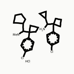 CNC(C1CCCC1)C1(c2ccc(Cl)cc2)CCC1.Cl.NC(C1CC1)C1(c2ccc(Cl)cc2)CCC1